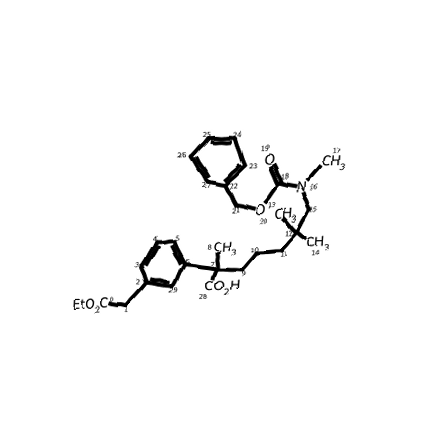 CCOC(=O)Cc1cccc(C(C)(CCCC(C)(C)CN(C)C(=O)OCc2ccccc2)C(=O)O)c1